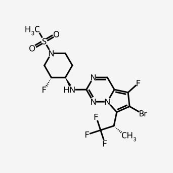 C[C@@H](c1c(Br)c(F)c2cnc(N[C@@H]3CCN(S(C)(=O)=O)C[C@H]3F)nn12)C(F)(F)F